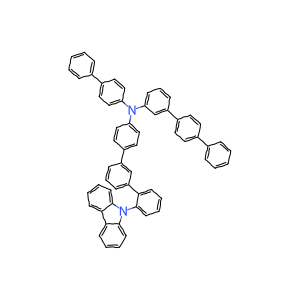 c1ccc(-c2ccc(-c3cccc(N(c4ccc(-c5ccccc5)cc4)c4ccc(-c5cccc(-c6ccccc6-n6c7ccccc7c7ccccc76)c5)cc4)c3)cc2)cc1